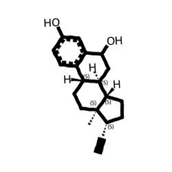 C#C[C@H]1CC[C@H]2[C@@H]3CC(O)c4cc(O)ccc4[C@H]3CC[C@]12C